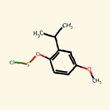 COc1ccc(OSCl)c(C(C)C)c1